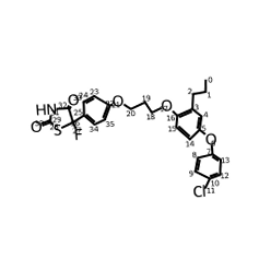 CCCc1cc(Oc2ccc(Cl)cc2)ccc1OCCCOc1ccc(C2(F)SC(=O)NC2=O)cc1